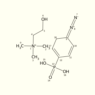 C[N+](C)(C)CCO.[N-]=[N+]=C1C=CC(P(=O)(O)O)=CC1